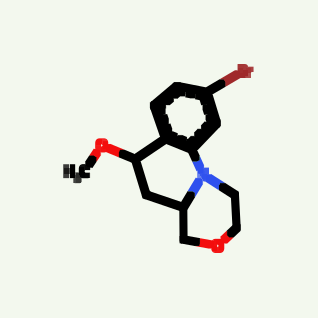 COC1CC2COCCN2c2cc(Br)ccc21